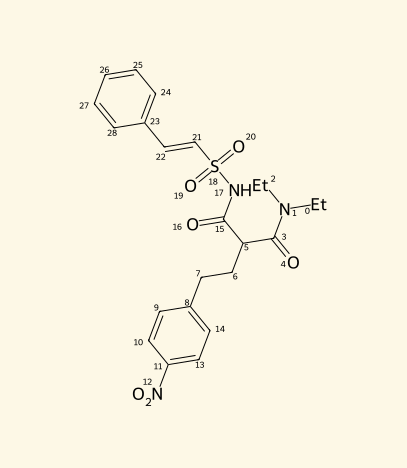 CCN(CC)C(=O)C(CCc1ccc([N+](=O)[O-])cc1)C(=O)NS(=O)(=O)C=Cc1ccccc1